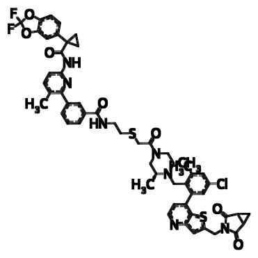 Cc1ccc(NC(=O)C2(c3ccc4c(c3)OC(F)(F)O4)CC2)nc1-c1cccc(C(=O)NCCSCC(=O)N2C[C@H](C)N(Cc3c(C)cc(Cl)cc3-c3ccnc4cc(CN5C(=O)C6CC6C5=O)sc34)[C@@H](C)C2)c1